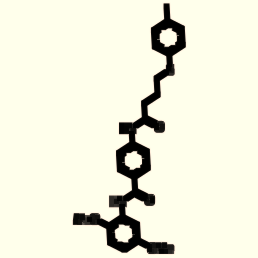 COc1ccc(OC)c(NC(=O)c2ccc(NC(=O)CCCSc3ccc(C)cc3)cc2)c1